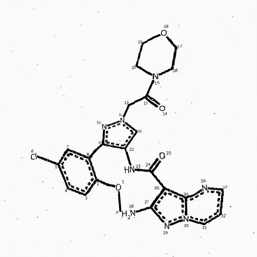 COc1ccc(Cl)cc1-c1nn(CC(=O)N2CCOCC2)cc1NC(=O)c1c(N)nn2cccnc12